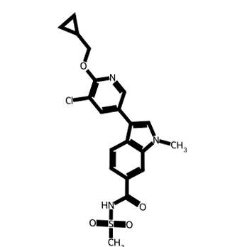 Cn1cc(-c2cnc(OCC3CC3)c(Cl)c2)c2ccc(C(=O)NS(C)(=O)=O)cc21